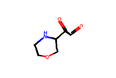 O=CC(=O)C1COCCN1